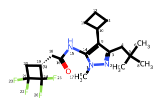 Cn1nc(CC(C)(C)C)c(C2CCC2)c1NC(=O)C[C@H]1CC(F)(F)C1(F)F